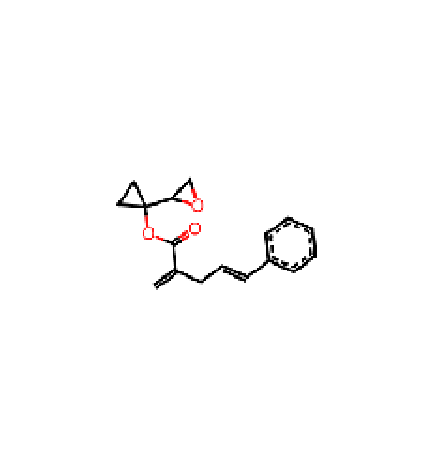 C=C(CC=Cc1ccccc1)C(=O)OC1(C2CO2)CC1